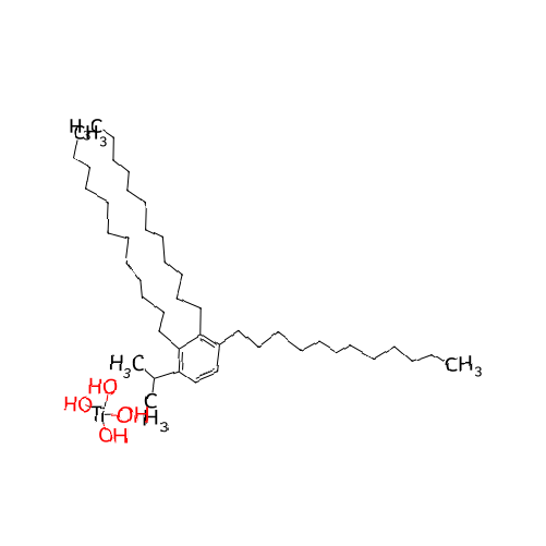 CCCCCCCCCCCCc1ccc(C(C)C)c(CCCCCCCCCCCC)c1CCCCCCCCCCCC.[OH][Ti]([OH])([OH])[OH]